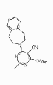 COc1nc(C)nc(N2CCc3ccccc3CC2)c1C#N